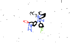 Cc1ccc2nc(-c3ccc(F)cc3)n(-c3ccc4c(c3)CC(=O)N4)c2n1